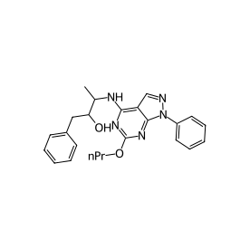 CCCOc1nc(NC(C)C(O)Cc2ccccc2)c2cnn(-c3ccccc3)c2n1